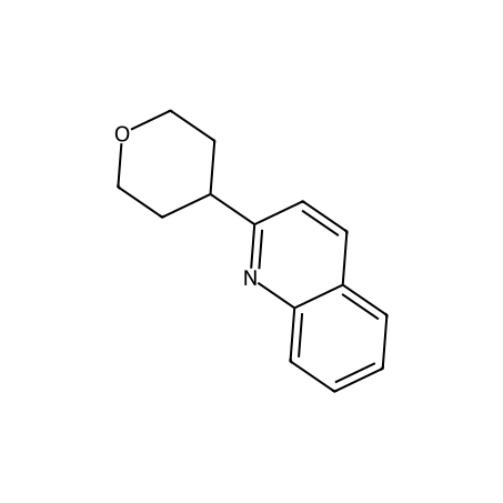 c1ccc2nc(C3CCOCC3)ccc2c1